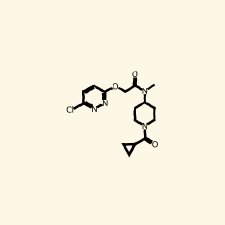 CN(C(=O)COc1ccc(Cl)nn1)C1CCN(C(=O)C2CC2)CC1